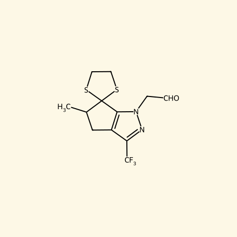 CC1Cc2c(C(F)(F)F)nn(CC=O)c2C12SCCS2